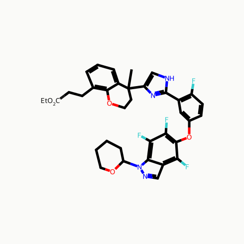 CCOC(=O)CCc1cccc2c1OCCC2(C)c1c[nH]c(-c2cc(Oc3c(F)c(F)c4c(cnn4C4CCCCO4)c3F)ccc2F)n1